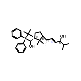 CC(C)[C@H](O)/C=C/[C@H](C)[C@]1(C)CC[C@@H](C(O)[Si](c2ccccc2)(c2ccccc2)C(C)(C)C)C1(C)C